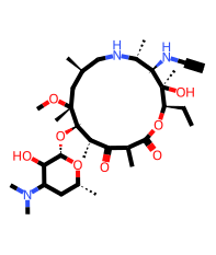 C#CN[C@@H]1[C@@H](C)NC[C@H](C)C[C@@](C)(OC)[C@H](O[C@@H]2O[C@H](C)CC(N(C)C)C2O)[C@@H](C)C(=O)C(C)C(=O)O[C@H](CC)[C@]1(C)O